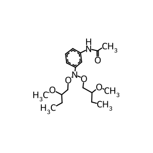 CCC(CON(OCC(CC)OC)c1cccc(NC(C)=O)c1)OC